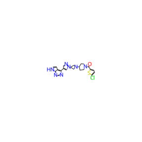 O=C(c1ccc(Cl)s1)N1CCC(N2C[C](n3cc(-c4ncnc5[nH]ccc45)cn3)C2)CC1